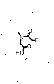 CN(CC(=O)O)C(=O)CF